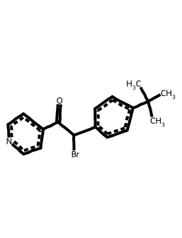 CC(C)(C)c1ccc(C(Br)C(=O)c2ccncc2)cc1